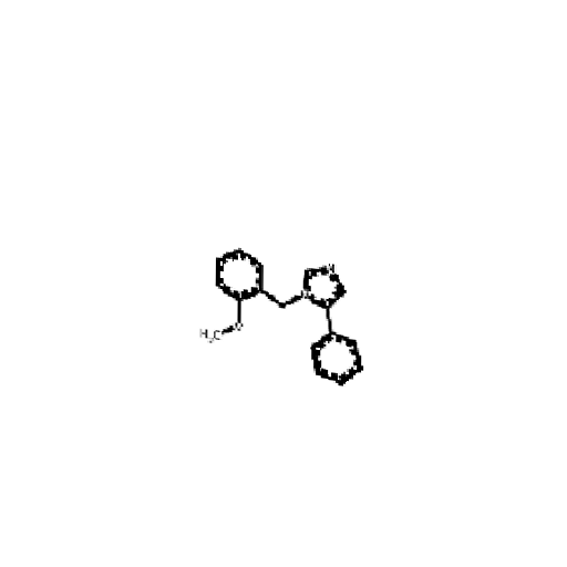 COc1ccccc1Cn1cncc1-c1ccccc1